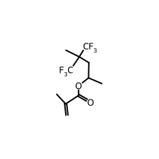 C=C(C)C(=O)OC(C)CC(C)(C(F)(F)F)C(F)(F)F